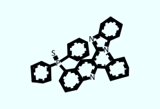 S=P(c1ccccc1)(c1ccccc1)c1cccc2nc3c4ccccc4n4c5ccccc5nc4c3cc12